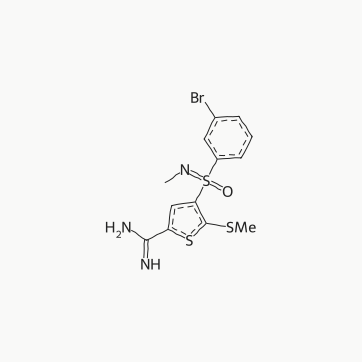 CN=S(=O)(c1cccc(Br)c1)c1cc(C(=N)N)sc1SC